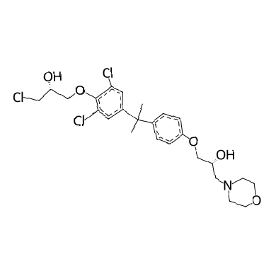 CC(C)(c1ccc(OC[C@H](O)CN2CCOCC2)cc1)c1cc(Cl)c(OC[C@@H](O)CCl)c(Cl)c1